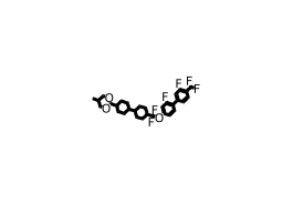 CC1COC(C2CCC(C3CCC(C(F)(F)Oc4ccc(-c5ccc(C(F)F)c(F)c5)c(F)c4)CC3)CC2)OC1